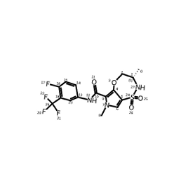 C[C@H]1COc2c(cn(C)c2C(=O)Nc2ccc(F)c(C(F)(F)F)c2)S(=O)(=O)N1